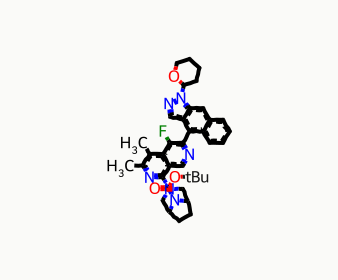 Cc1nc(N2CC3CCC(C2)N3C(=O)OC(C)(C)C)c2cnc(-c3c4ccccc4cc4c3cnn4C3CCCCO3)c(F)c2c1C